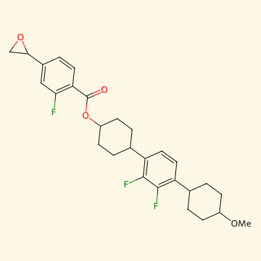 COC1CCC(c2ccc(C3CCC(OC(=O)c4ccc(C5CO5)cc4F)CC3)c(F)c2F)CC1